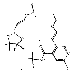 CCO/C=C/B1OC(C)(C)C(C)(C)O1.CCOC=Cc1cnc(Cl)cc1C(=O)NC(C)(C)C